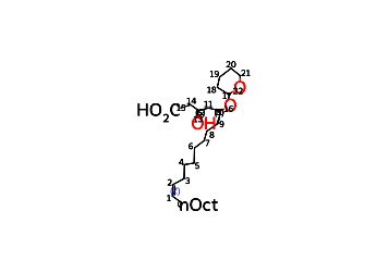 CCCCCCCC/C=C\CCCCCCC[C@@H](C[C@H](O)CC(=O)O)OC1CCCCO1